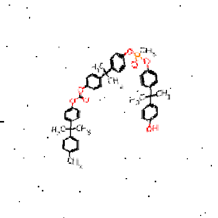 Cc1ccc(C(C)(C)c2ccc(OC(=O)Oc3ccc(C(C)(C)c4ccc(OP(C)(=O)Oc5ccc(C(C)(C)c6ccc(O)cc6)cc5)cc4)cc3)cc2)cc1